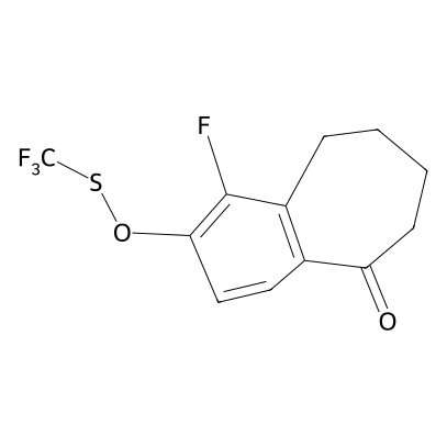 O=C1CCCCc2c1ccc(OSC(F)(F)F)c2F